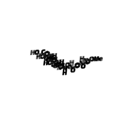 COc1ccc(C(=O)Nc2ccc(C(=O)NCC(=O)Nc3ccc(C(=O)Nc4ccc(C(=O)Nc5ccc(C(=O)O)c(O)c5OC)c(O)c4OC)nc3)cc2)nc1